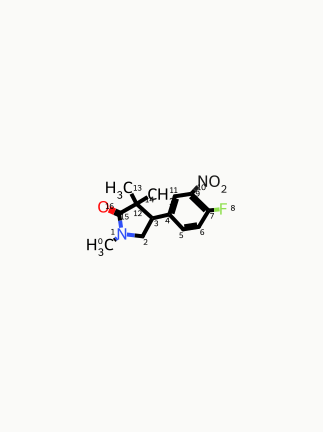 CN1CC(c2ccc(F)c([N+](=O)[O-])c2)C(C)(C)C1=O